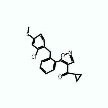 CSc1ccc(Cc2ccccc2-c2oncc2C(=O)C2CC2)c(Cl)c1